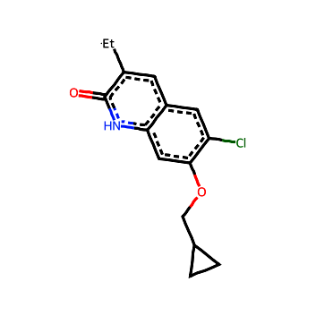 C[CH]c1cc2cc(Cl)c(OCC3CC3)cc2[nH]c1=O